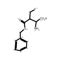 NC(C(=O)O)C(CF)C(=O)OCc1ccccc1